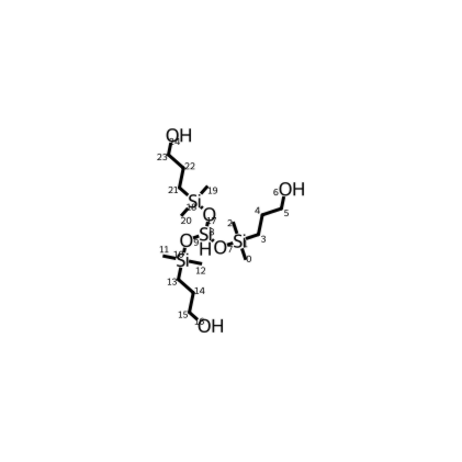 C[Si](C)(CCCO)O[SiH](O[Si](C)(C)CCCO)O[Si](C)(C)CCCO